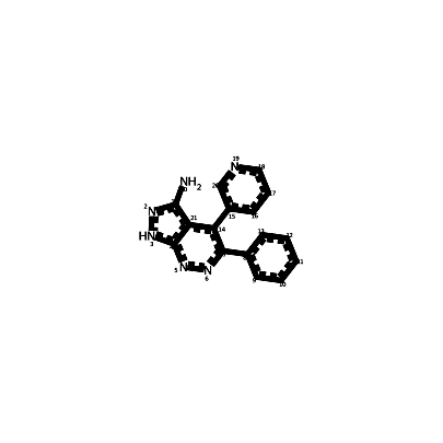 Nc1n[nH]c2nnc(-c3ccccc3)c(-c3cccnc3)c12